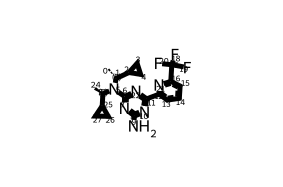 C[C@H](C1CC1)N(c1nc(N)nc(-c2cccc(C(F)(F)F)n2)n1)[C@H](C)C1CC1